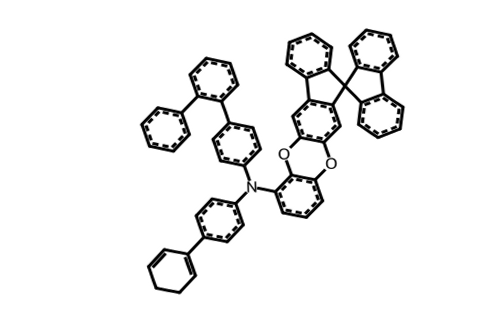 C1=CC(c2ccc(N(c3ccc(-c4ccccc4-c4ccccc4)cc3)c3cccc4c3Oc3cc5c(cc3O4)C3(c4ccccc4-c4ccccc43)c3ccccc3-5)cc2)=CCC1